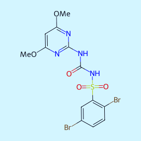 COc1cc(OC)nc(NC(=O)NS(=O)(=O)c2cc(Br)ccc2Br)n1